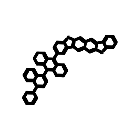 C1=c2c(-c3ccc4sc5cc6cc7c(cc6cc5c4c3)oc3ccccc37)c3ccccc3c(-c3ccc(-c4ccccc4)c4ccccc34)c2=CCC1